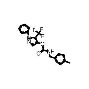 Cc1ccc(CNC(=O)Oc2cnn(-c3ccccc3)c2C(F)(F)F)cc1